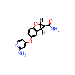 NC(=O)[C@@H]1[C@H]2Oc3ccc(Oc4ccnc(N)c4)cc3[C@H]21